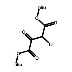 CCCCOC(=O)C(=O)C(Cl)C(=O)OCCCC